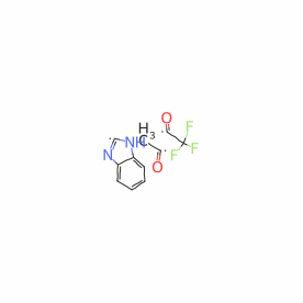 C[C]=O.O=[C]C(F)(F)F.[c]1nc2ccccc2[nH]1